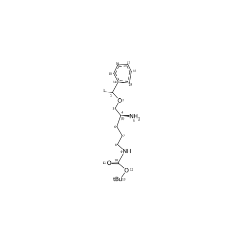 CC(OC[C@@H](N)CCCNC(=O)OC(C)(C)C)c1ccccc1